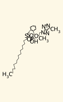 CCCCCCCCCCCCCCCCSSCc1ccccc1COP(=O)(O)COC(C)Cn1cnc2c(C)ncnc21